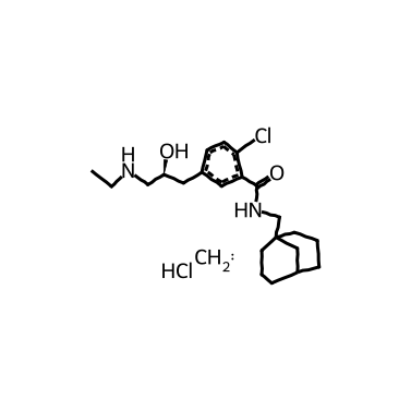 CCNC[C@@H](O)Cc1ccc(Cl)c(C(=O)NCC23CCCC(CCC2)C3)c1.Cl.[CH2]